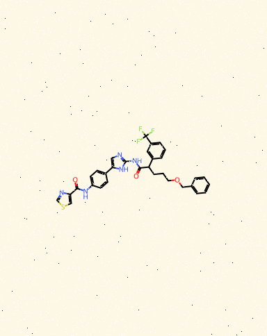 O=C(Nc1ccc(-c2cnc(NC(=O)C(CCCOCc3ccccc3)c3cccc(C(F)(F)F)c3)[nH]2)cc1)c1cscn1